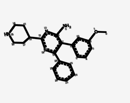 COc1cccc(-c2c(N)nc(C3CCNCC3)nc2-c2ccccc2)c1